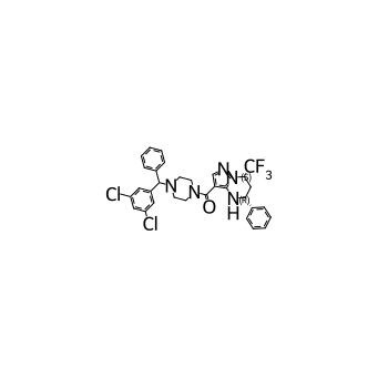 O=C(c1cnn2c1N[C@@H](c1ccccc1)C[C@H]2C(F)(F)F)N1CCN(C(c2ccccc2)c2cc(Cl)cc(Cl)c2)CC1